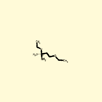 CCOCC[C@@](C)(N)OCC